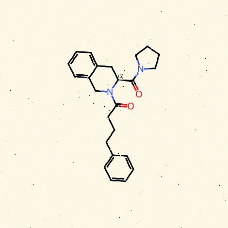 O=C([C@@H]1Cc2ccccc2CN1C(=O)CCCc1ccccc1)N1CCCC1